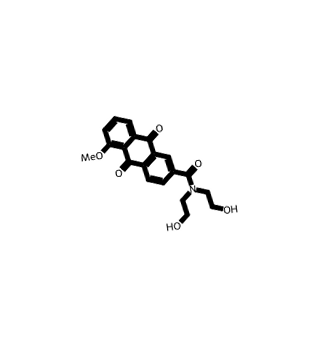 COc1cccc2c1C(=O)c1ccc(C(=O)N(CCO)CCO)cc1C2=O